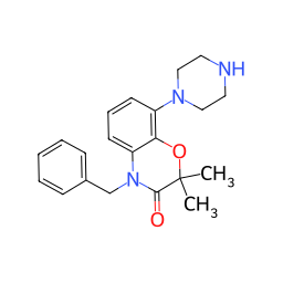 CC1(C)Oc2c(N3CCNCC3)cccc2N(Cc2ccccc2)C1=O